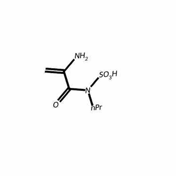 C=C(N)C(=O)N(CCC)S(=O)(=O)O